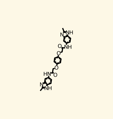 Cc1nc2cc(NC(=O)COc3ccc(OCC(=O)Nc4ccc5[nH]c(C)nc5c4)cc3)ccc2[nH]1